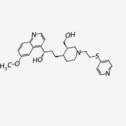 COc1ccc2nccc([C@H](O)CC[C@@H]3CCN(CCSc4ccncc4)C[C@@H]3CO)c2c1